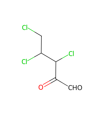 O=CC(=O)C(Cl)C(Cl)CCl